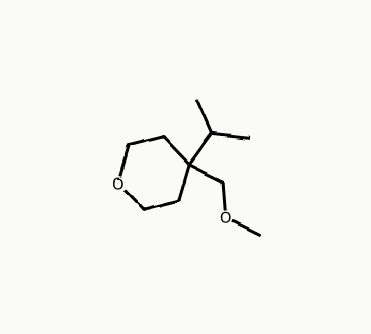 COCC1(C(C)C)CCOCC1